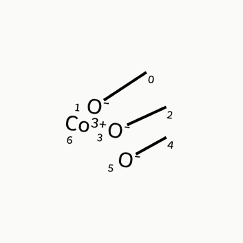 C[O-].C[O-].C[O-].[Co+3]